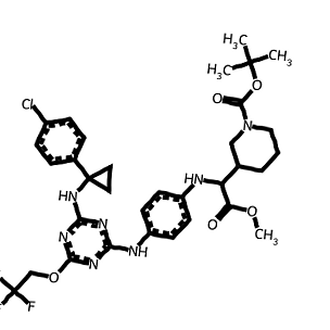 COC(=O)C(Nc1ccc(Nc2nc(NC3(c4ccc(Cl)cc4)CC3)nc(OCC(F)(F)F)n2)cc1)C1CCCN(C(=O)OC(C)(C)C)C1